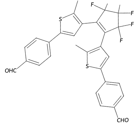 Cc1sc(-c2ccc(C=O)cc2)cc1C1=C(c2cc(-c3ccc(C=O)cc3)sc2C)C(F)(F)C(F)(F)C1(F)F